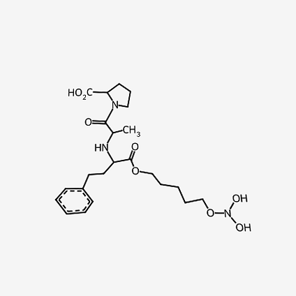 CC(NC(CCc1ccccc1)C(=O)OCCCCCON(O)O)C(=O)N1CCCC1C(=O)O